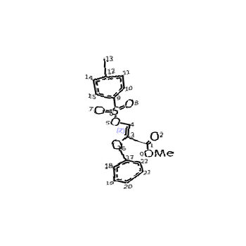 COC(=O)/C(=C/OS(=O)(=O)c1ccc(C)cc1)Oc1ccccc1